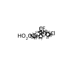 O=C(O)N1CCN(c2cccc3c2cc(C(F)(F)F)n3Cc2cccc(Cl)c2)CC1